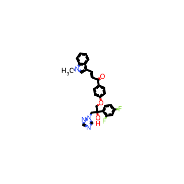 Cn1cc(/C=C/C(=O)c2ccc(OCC(O)(Cn3cncn3)c3ccc(F)cc3F)cc2)c2ccccc21